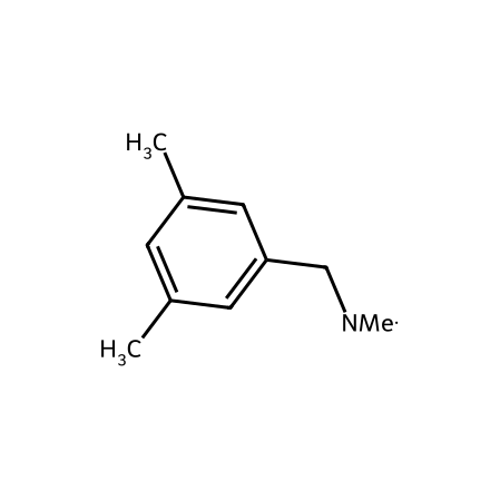 C[N]Cc1cc(C)cc(C)c1